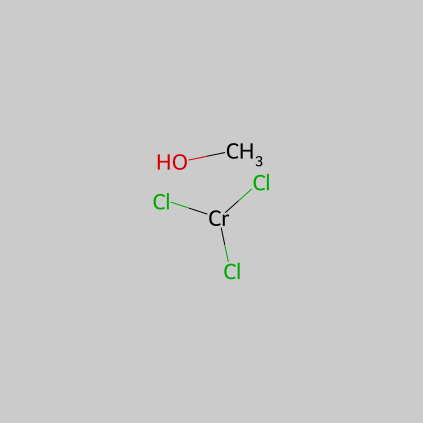 CO.[Cl][Cr]([Cl])[Cl]